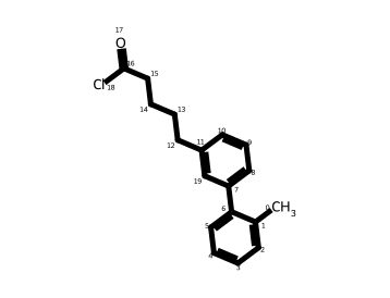 Cc1ccccc1-c1cccc(CCCCC(=O)Cl)c1